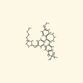 FCCCN1CC[C@H](Oc2ccc(C3=C(c4ccc5c(c4)OC(F)(F)O5)CCCc4cc(OF)ccc43)cc2)C1